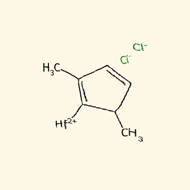 CC1=[C]([Hf+2])C(C)C=C1.[Cl-].[Cl-]